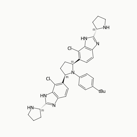 CC(C)(C)c1ccc(N2[C@@H](c3ccc4nc([C@@H]5CCCN5)[nH]c4c3Cl)CC[C@H]2c2ccc3nc([C@@H]4CCCN4)[nH]c3c2Cl)cc1